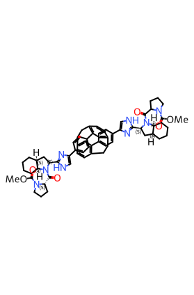 COC(=O)N1CCCC1C(=O)N1[C@H](c2nc(-c3ccc(-c4cc5ccc4CCc4ccc(c(-c6ccc(-c7c[nH]c([C@@H]8C[C@@H]9CCCC[C@@H]9N8C(=O)[C@@H]8CCCN8C(=O)OC)n7)cc6)c4)CC5)cc3)c[nH]2)C[C@@H]2CCCC[C@@H]21